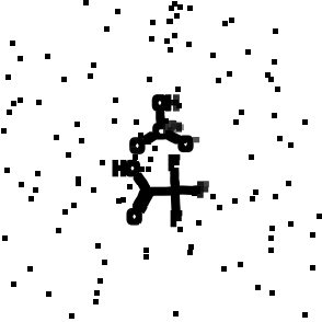 O=C(O)C(F)(F)F.[O-][Cl+2]([O-])O